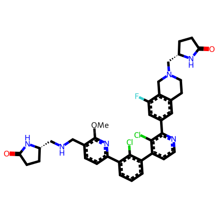 COc1nc(-c2cccc(-c3ccnc(-c4cc(F)c5c(c4)CCN(C[C@@H]4CCC(=O)N4)C5)c3Cl)c2Cl)ccc1CNC[C@@H]1CCC(=O)N1